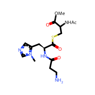 COC(=O)C(CSC(=O)[C@H](Cc1cncn1C)NC(=O)CCN)NC(C)=O